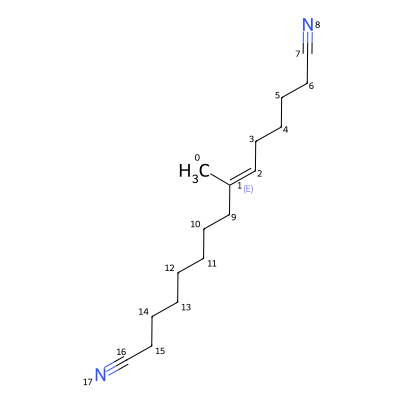 C/C(=C\CCCCC#N)CCCCCCCC#N